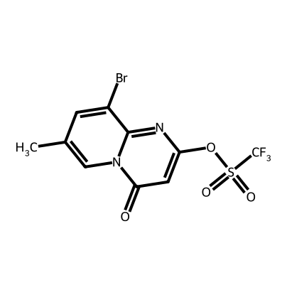 Cc1cc(Br)c2nc(OS(=O)(=O)C(F)(F)F)cc(=O)n2c1